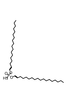 CCCCCCCCCCCCCCCC/C=C/OP(=O)(S)O/C=C/CCCCCCCCCCCCCCCC